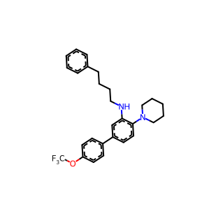 FC(F)(F)Oc1ccc(-c2ccc(N3CCCCC3)c(NCCCCc3ccccc3)c2)cc1